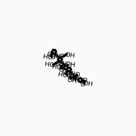 O=C(O)C1=NN(c2ccc(S(=O)(=O)O)cc2)C(=O)C1/N=N/c1ccc2c(O)c(/N=N/c3cc(OCCO)c(/N=N/c4ccccc4S(=O)(=O)O)cc3OCCO)c(S(=O)(=O)O)cc2c1S(=O)(=O)O